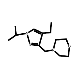 CCc1cn(C(C)C)nc1CN1CCOCC1